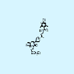 CCOC(=O)CCNC(=O)N(Cc1ccsc1)C1CCN([C@H](C)CCNC(=O)c2c(C)cc(Cl)nc2C)CC1